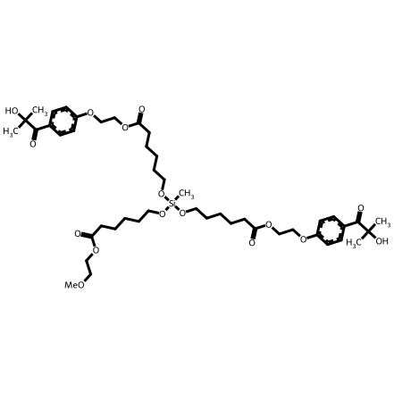 COCCOC(=O)CCCCCO[Si](C)(OCCCCCC(=O)OCCOc1ccc(C(=O)C(C)(C)O)cc1)OCCCCCC(=O)OCCOc1ccc(C(=O)C(C)(C)O)cc1